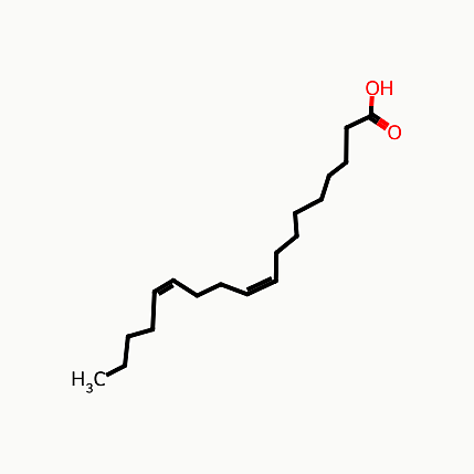 CCCC/C=C\CC/C=C\CCCCCCCC(=O)O